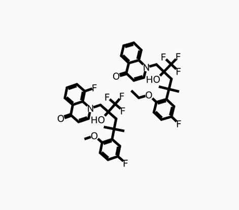 CCOc1ccc(F)cc1C(C)(C)CC(O)(Cn1ccc(=O)c2ccccc21)C(F)(F)F.COc1ccc(F)cc1C(C)(C)CC(O)(Cn1ccc(=O)c2cccc(F)c21)C(F)(F)F